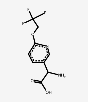 NC(C(=O)O)c1ccc(OCC(F)(F)F)nc1